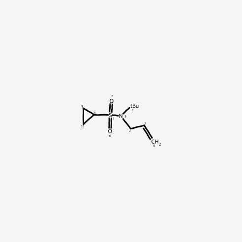 C=CCN(C(C)(C)C)S(=O)(=O)C1CC1